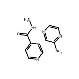 NNC(=O)c1ccncc1.Nc1cnccn1